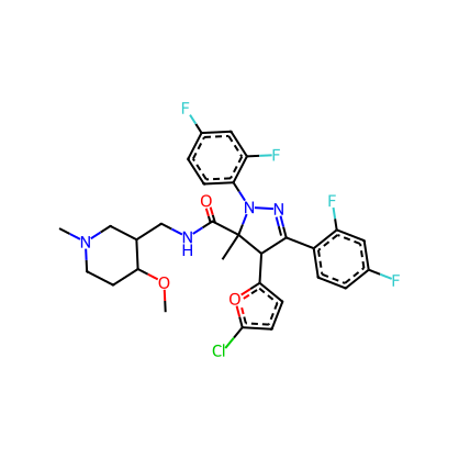 COC1CCN(C)CC1CNC(=O)C1(C)C(c2ccc(Cl)o2)C(c2ccc(F)cc2F)=NN1c1ccc(F)cc1F